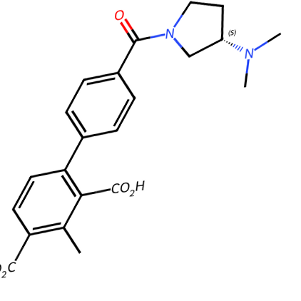 Cc1c(C(=O)O)ccc(-c2ccc(C(=O)N3CC[C@H](N(C)C)C3)cc2)c1C(=O)O